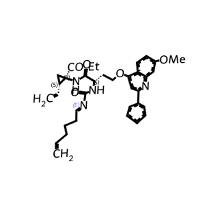 C=CCCC/C=N/C(=O)N[C@@H](CCOc1cc(-c2ccccc2)nc2cc(OC)ccc12)C(=O)N[C@]1(C(=O)OCC)C[C@H]1C=C